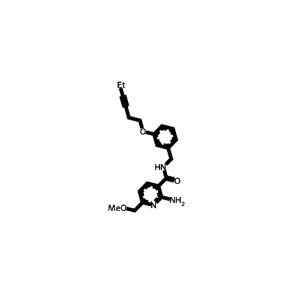 CCC#CCCOc1cccc(CNC(=O)c2ccc(COC)nc2N)c1